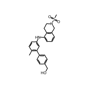 Cc1ccc(Nc2cccc3c2CCN(S(C)(=O)=O)C3)cc1-c1ccc(CO)cc1